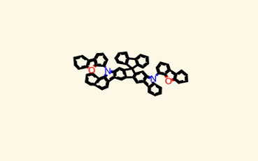 c1ccc2c(c1)-c1ccccc1C21c2cc3c(cc2-c2cc4c5ccc6ccccc6c5n(-c5cccc6c5oc5ccccc56)c4cc21)c1ccccc1n3-c1cccc2c1oc1ccccc12